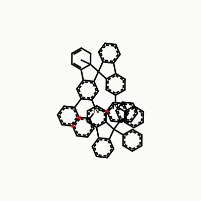 CC12CC=CC=C1c1cc(-c3ccccc3)c(N(c3ccccc3)c3ccccc3)cc1C21c2ccccc2-c2ccc(N(c3ccccc3)c3cccc4c3C(c3ccccc3)(c3ccccc3)c3ccccc3-4)cc21